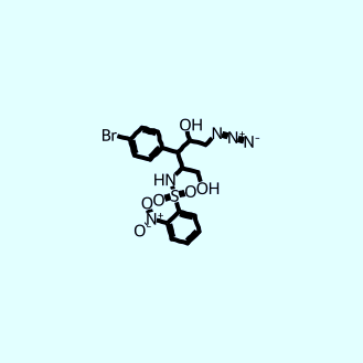 [N-]=[N+]=NCC(O)C(c1ccc(Br)cc1)C(CO)NS(=O)(=O)c1ccccc1[N+](=O)[O-]